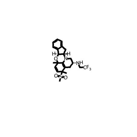 CC12C=CC(C)(S(C)(=O)=O)C3=C1N(C[C@H](NCC(F)(F)F)C3)[C@H]1Cc3ccccc3[C@@H]1O2